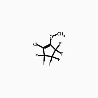 COC1=C(Cl)C(F)(F)C(F)(F)C1(F)F